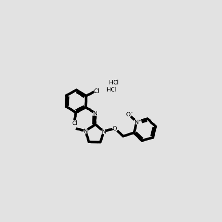 CN1CCN(OCc2cccc[n+]2[O-])C1=Nc1c(Cl)cccc1Cl.Cl.Cl